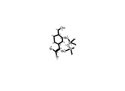 CC(C)(C)[Si](C)(C)O[Si](C)(C)C(C)(C)C.OCC1CCC(C=C(Br)Br)CC1